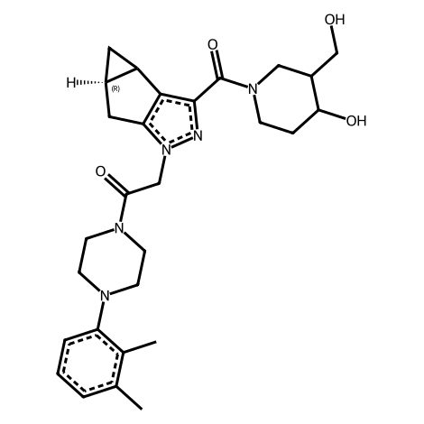 Cc1cccc(N2CCN(C(=O)Cn3nc(C(=O)N4CCC(O)C(CO)C4)c4c3C[C@H]3CC43)CC2)c1C